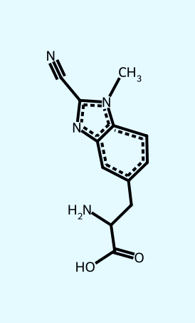 Cn1c(C#N)nc2cc(CC(N)C(=O)O)ccc21